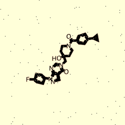 O=C(c1ccc(C2CC2)cc1)N1CCC(O)(Cn2cnc3c(cnn3-c3ccc(F)cc3)c2=O)CC1